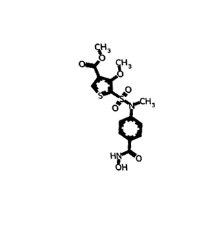 COC(=O)c1csc(S(=O)(=O)N(C)c2ccc(C(=O)NO)cc2)c1OC